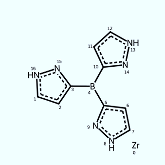 [Zr].c1cc(B(c2cc[nH]n2)c2cc[nH]n2)n[nH]1